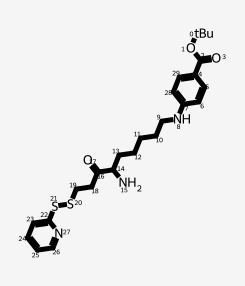 CC(C)(C)OC(=O)c1ccc(NCCCCCC(N)C(=O)CCSSc2ccccn2)cc1